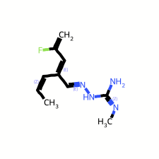 C=C(F)/C=C(\C=C/C)/C=N/N/C(N)=N\C